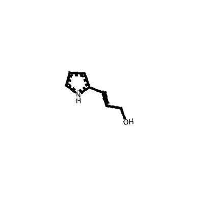 OCC=Cc1ccc[nH]1